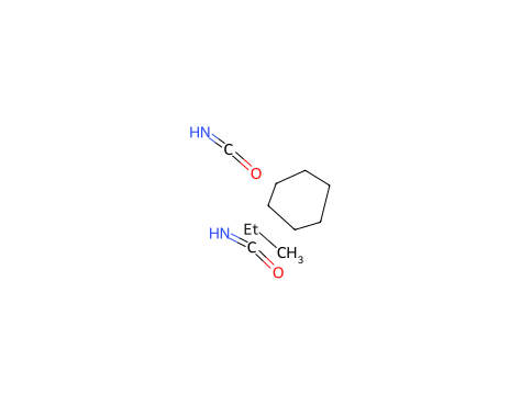 C1CCCCC1.CCC.N=C=O.N=C=O